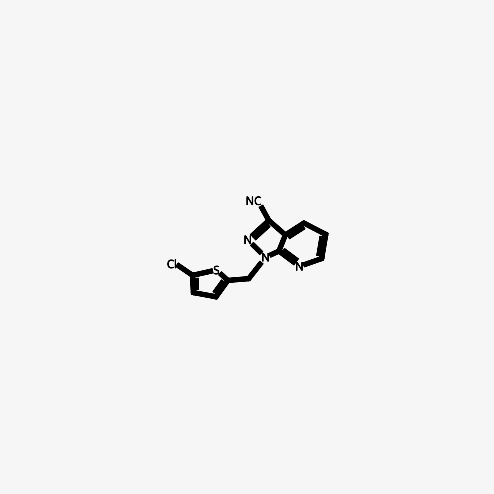 N#Cc1nn(Cc2ccc(Cl)s2)c2ncccc12